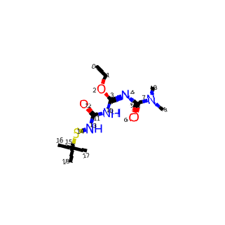 CCOC(=NC(=O)N(C)C)NC(=O)NSC(C)(C)C